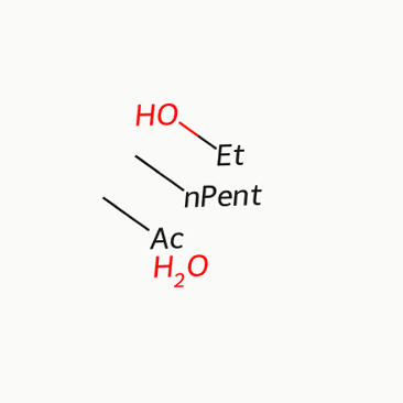 CC(C)=O.CCCCCC.CCO.O